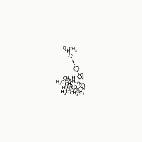 C[C@H](O[Si](C)(C)C(C)(C)C)c1nccn1[C@H](CNC(=O)OC(C)(C)C)c1cc(-c2ccc(C#C[C@H]3C[C@H](N(C)C=O)C3)cc2)on1